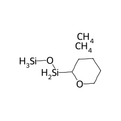 C.C.[SiH3]O[SiH2]C1CCCCO1